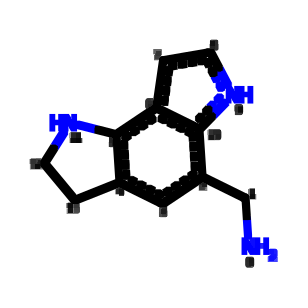 NCc1cc2c(c3cc[nH]c13)NCC2